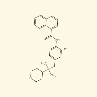 C[N+](C)(Cc1ccc(NC(=O)c2cccc3ccccc23)cc1)C1CCOCC1.[Cl-]